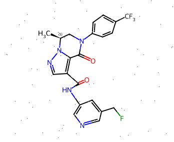 C[C@H]1CN(c2ccc(C(F)(F)F)cc2)C(=O)c2c(C(=O)Nc3cncc(CF)c3)cnn21